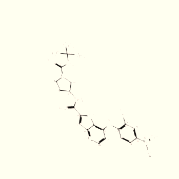 CC(C)(C)OC(=O)N1CCC(NC(=O)c2cc3nccc(Oc4ccc([N+](=O)[O-])cc4F)c3s2)C1